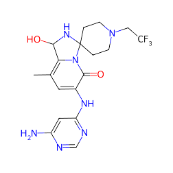 Cc1cc(Nc2cc(N)ncn2)c(=O)n2c1C(O)NC21CCN(CC(F)(F)F)CC1